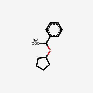 O=C([O-])C(OC1CCCC1)c1ccccc1.[Na+]